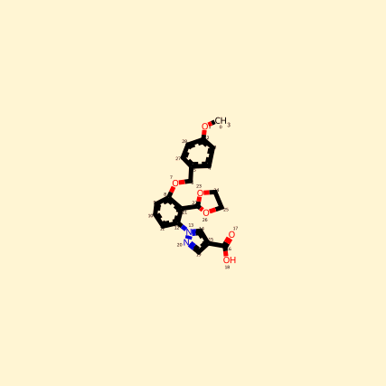 COc1ccc(COc2cccc(-n3cc(C(=O)O)cn3)c2C2OCCO2)cc1